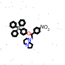 O=C(C[N+]1=C2CCCN2CCC1)c1ccc([N+](=O)[O-])cc1.c1ccc([B-](c2ccccc2)(c2ccccc2)c2ccccc2)cc1